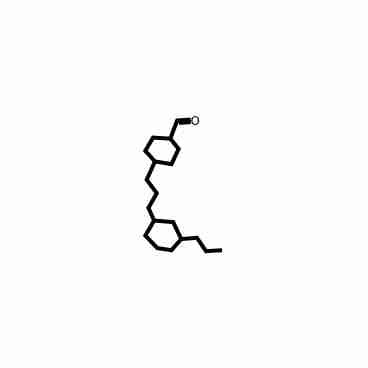 CCCC1CCCC(CCCC2CCC(C=O)CC2)C1